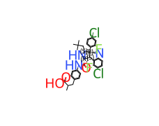 CC(Cc1ccc(NC(=O)[C@@H]2N[C@@H](CC(C)(C)C)[C@](C#N)(c3ccc(Cl)cc3F)[C@H]2c2cccc(Cl)c2F)cc1)C(=O)O